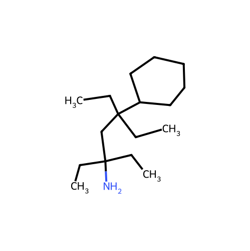 CCC(N)(CC)CC(CC)(CC)C1CCCCC1